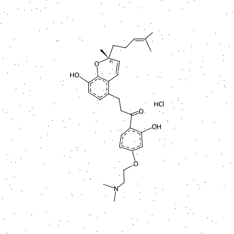 CC(C)=CCC[C@]1(C)C=Cc2c(CCC(=O)c3ccc(OCCN(C)C)cc3O)ccc(O)c2O1.Cl